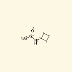 CC(C)(C)[S+]([O-])NC1CCC1